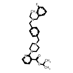 CCN(Cc1ccc(CN2CCN(c3ncccc3C(=O)OC(C)C)CC2)cc1)Cc1cccc(F)c1